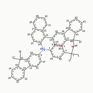 CC(C)(C)c1ccc(N(c2ccc3c(c2)C(C)(C)c2ccccc2-3)c2ccc3ccccc3c2-c2ccc3c(c2)-c2ccccc2C3(C)C)cc1